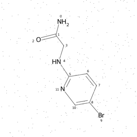 NC(=O)CNc1ccc(Br)cn1